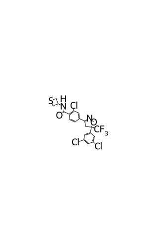 O=C(NC1CSC1)c1ccc(C2=NO[C@@](c3cc(Cl)cc(Cl)c3)(C(F)(F)F)C2)cc1Cl